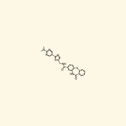 CN(C)c1ncc(-c2ncc(CNC(=O)c3ccc4c(c3)NC(=O)c3ccccc3S4)s2)cn1